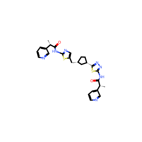 C[C@H](C(=O)Nc1ncc(C[C@@H]2CC[C@H](c3nnc(NC(=O)[C@H](C)c4cccnc4)s3)C2)s1)c1cccnc1